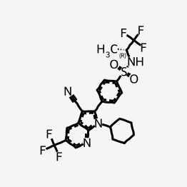 C[C@@H](NS(=O)(=O)c1ccc(-c2c(C#N)c3cc(C(F)(F)F)cnc3n2C2CCCCC2)cc1)C(F)(F)F